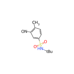 Cc1ccc(S(=O)(=O)NC(C)(C)C)cc1N=O